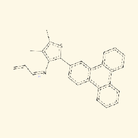 C=C/C=N\c1c(-c2ccc3c4ccccc4c4ccccc4c3c2)sc(C)c1C